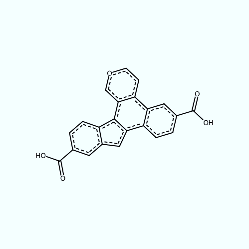 O=C(O)c1ccc2c(c1)cc1c3ccc(C(=O)O)cc3c3ccocc3c21